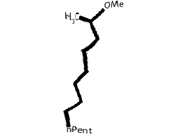 [CH2]CCCCCCCCCCC(C)OC